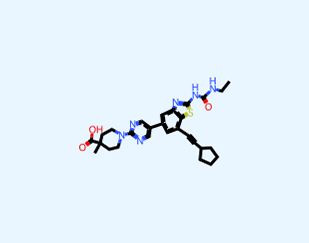 CCNC(=O)Nc1nc2cc(-c3cnc(N4CCC(C)(C(=O)O)CC4)nc3)cc(C#CC3CCCC3)c2s1